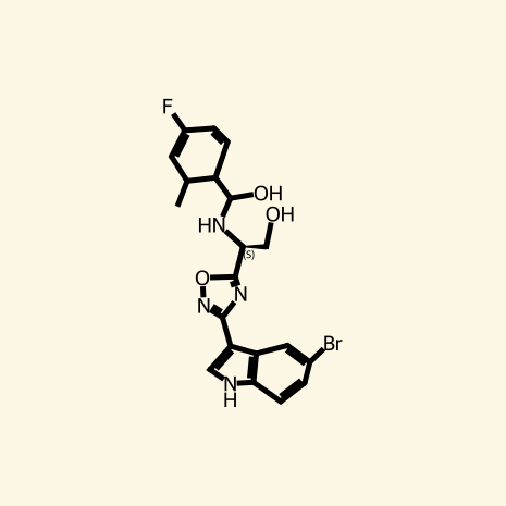 CC1C=C(F)C=CC1C(O)N[C@@H](CO)c1nc(-c2c[nH]c3ccc(Br)cc23)no1